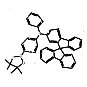 CC1(C)OB(c2ccc(N(c3ccccc3)c3ccc4c(c3)C3(c5ccccc5-c5ccccc53)c3ccccc3-4)cc2)OC1(C)C